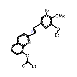 CCOc1cc(/C=C/c2ccc3cccc(OC(=O)CC)c3n2)cc(Br)c1OC